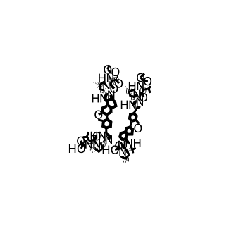 COC(=O)N[C@H](C(=O)N1C[C@@H](C)C[C@H]1c1nc2ccc3cc4c(cc3c2[nH]1)OCc1cc(-c2cnc([C@@H]3CC[C@H](C)N3C(=O)[C@@H](NC(=O)O)C(C)C)[nH]2)ccc1-4)[C@@H](C)OC.COC(=O)N[C@H](C(=O)N1C[C@@H](C)C[C@H]1c1ncc(-c2ccc3c(c2)COc2cc4c(ccc5nc([C@@]6(C(C)(C)C)C[C@H](C)CN6C(=O)O)[nH]c54)cc2-3)[nH]1)C(C)C